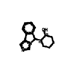 O[C@H]1CCCC[C@H]1C1c2ccccc2-c2cncn21